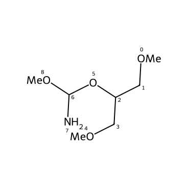 COCC(COC)OC(N)OC